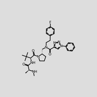 CN[C@@H](C)C(=O)N[C@H](C(=O)N1CCC[C@H]1CN(CCc1ccc(F)cc1)C(=O)c1cn(-c2ccccc2)nn1)C(C)(C)C